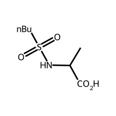 CCCCS(=O)(=O)NC(C)C(=O)O